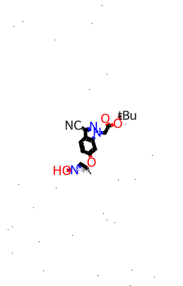 C[C@H](/C=N/O)Oc1ccc2c(C#N)nn(CC(=O)OC(C)(C)C)c2c1